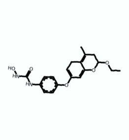 CCOC1CC(C)=C2CC=C(Oc3ccc(NC(=O)NO)cc3)C=C2O1